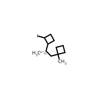 C[C@@H](CC1(C)CCC1)C1CCC1I